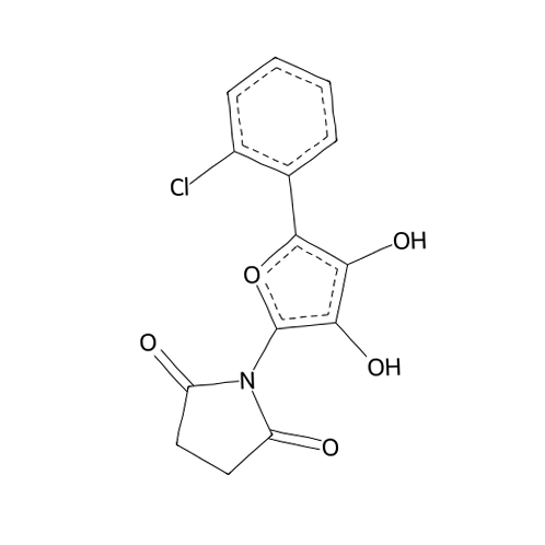 O=C1CCC(=O)N1c1oc(-c2ccccc2Cl)c(O)c1O